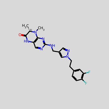 C[C@H]1C(=O)Nc2cnc(NCc3cnn(CCc4ccc(F)c(F)c4)c3)nc2N1C